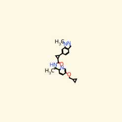 C[C@@H](NC(=O)C1CC1c1ccc2cnn(C)c2c1)c1ccc(OCC2CC2)cn1